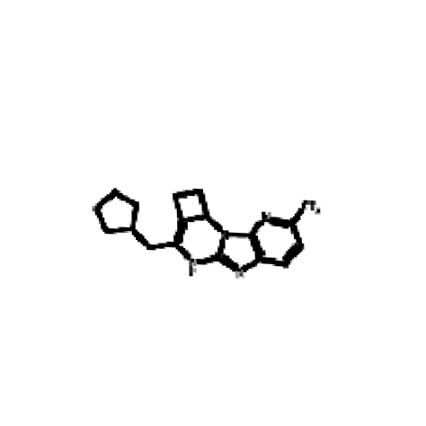 FC(F)(F)c1ccc2nc3n(c2n1)C1CCC1=C(CC1CCCC1)N3